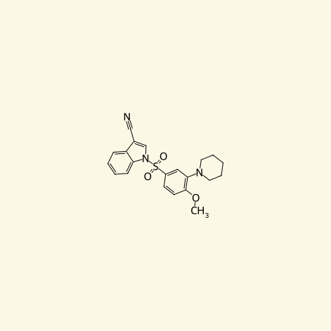 COc1ccc(S(=O)(=O)n2cc(C#N)c3ccccc32)cc1N1CCCCC1